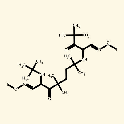 CC(C)(C)NC(C=NOI)C(=O)C(C)(C)CCC(C)(C)NC(/C=N/NI)C(=O)C(C)(C)C